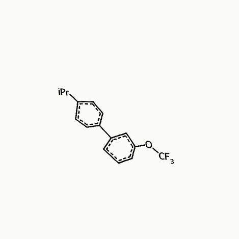 CC(C)c1ccc(-c2cccc(OC(F)(F)F)c2)cc1